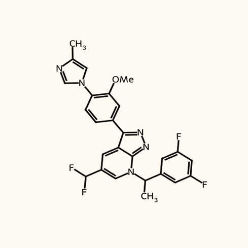 COc1cc(-c2nnc3n(C(C)c4cc(F)cc(F)c4)cc(C(F)F)cc2-3)ccc1-n1cnc(C)c1